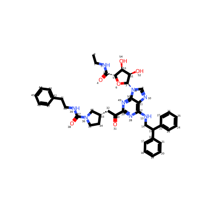 CCNC(=O)[C@H]1O[C@@H](n2cnc3c(NCC(c4ccccc4)c4ccccc4)nc(C(=O)C[C@@H]4CCN(C(=O)NCCc5ccccc5)C4)nc32)[C@H](O)[C@@H]1O